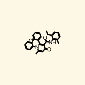 CCc1cccc(C)c1NC(=O)c1c(-c2ccccc2Cl)n(-c2ccccc2)c(C)cc1=O